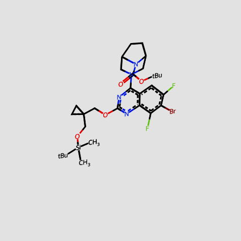 CC(C)(C)OC(=O)N1C2CCC1CN(c1nc(OCC3(CO[Si](C)(C)C(C)(C)C)CC3)nc3c(F)c(Br)c(F)cc13)C2